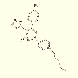 CCCCOc1ccc(-c2cc(-c3ccc(C)cc3)c(-c3nnn[nH]3)c(=O)[nH]2)cc1